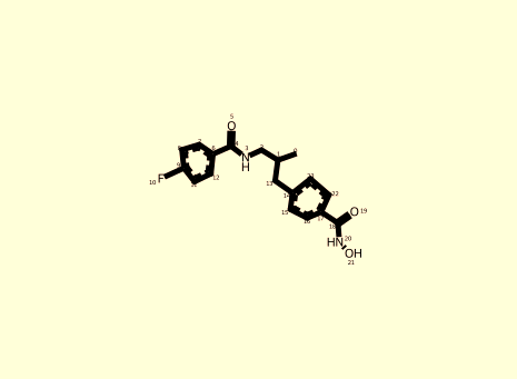 CC(CNC(=O)c1ccc(F)cc1)Cc1ccc(C(=O)NO)cc1